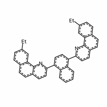 CCc1ccc2ccc3ccc(-c4ccc(-c5ccc6ccc7ccc(CC)cc7c6n5)c5ccccc45)nc3c2c1